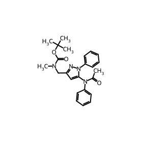 CC(=O)N(c1ccccc1)c1cc(CN(C)C(=O)OC(C)(C)C)nn1-c1ccccc1